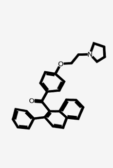 O=C(c1ccc(OCCN2CCCC2)cc1)c1c(-c2ccccc2)ccc2ccccc12